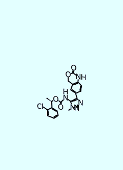 C[C@@H](OC(=O)Nc1c(-c2ccc3c(c2)COC(=O)N3)nnn1C)c1ccccc1Cl